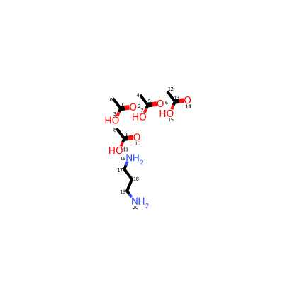 CC(=O)O.CC(=O)O.CC(=O)O.CC(=O)O.NCCCN